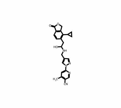 Cc1cc(-n2cc(CNC(O)Cc3ccc4c(c3C3CC3)COC4=O)cn2)ncc1C#N